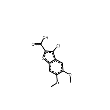 COc1cc2sc(C(=O)O)c(Cl)c2cc1OC